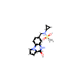 CS(=O)(=O)N(Cc1ccc2c(c1)[nH]c(=O)c1cccn12)C1CC1